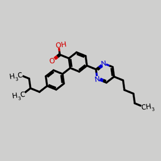 CCCCCc1cnc(-c2ccc(C(=O)O)c(-c3ccc(CC(C)CC)cc3)c2)nc1